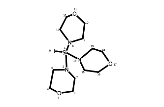 I[Si](N1CCOCC1)(N1CCOCC1)N1CCOCC1